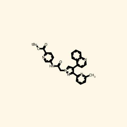 Cc1cccc(-c2nn(CC(=O)Nc3ccc(C(=O)OC(C)(C)C)nc3)cc2-c2ccnc3ccccc23)n1